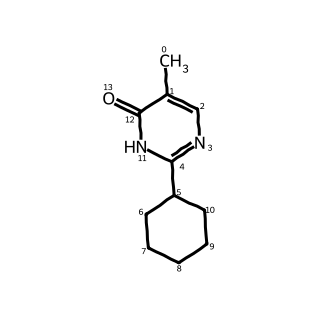 Cc1cnc(C2CCCCC2)[nH]c1=O